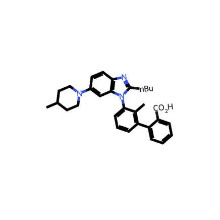 CCCCc1nc2ccc(N3CCC(C)CC3)cc2n1-c1cccc(-c2ccccc2C(=O)O)c1C